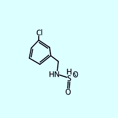 O=[SH](=O)NCc1cccc(Cl)c1